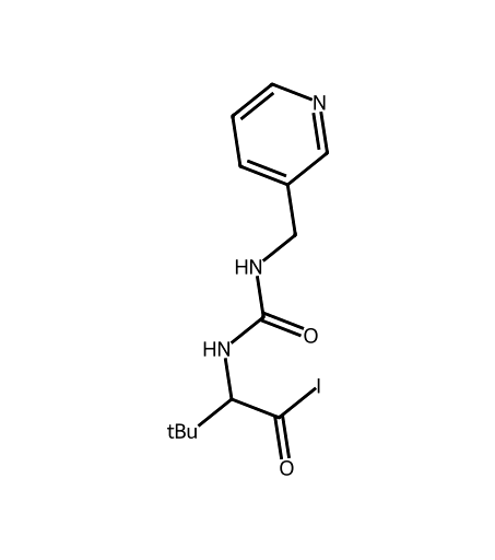 CC(C)(C)C(NC(=O)NCc1cccnc1)C(=O)I